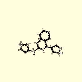 c1ccc2c(-c3cn[nH]c3)nc(Nc3cc[nH]n3)cc2c1